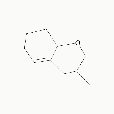 CC1COC2CCCC=C2C1